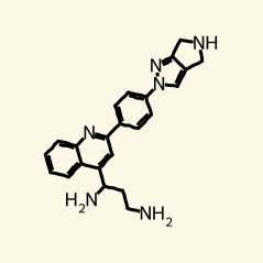 NCCC(N)c1cc(-c2ccc(-n3cc4c(n3)CNC4)cc2)nc2ccccc12